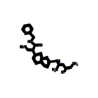 CN/C=C(\C(=N)NCc1ccccn1)c1cnc2ccc(N/C(N)=C/C(=C\N)C(C)C)nc2c1